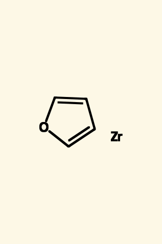 [Zr].c1ccoc1